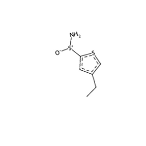 CCc1csc([S+](N)[O-])c1